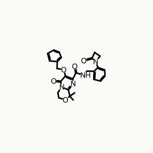 CC1(C)OCCn2c1nc(C(=O)NCc1ccccc1N1CCC1=O)c(OCc1ccccc1)c2=O